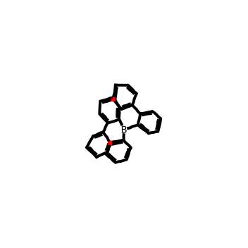 c1ccc(B(c2ccccc2-c2ccccc2)c2ccccc2-c2ccccc2)cc1